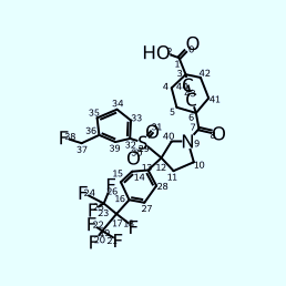 O=C(O)C12CCC(C(=O)N3CCC(c4ccc(C(F)(C(F)(F)F)C(F)(F)F)cc4)(S(=O)(=O)c4cccc(CF)c4)C3)(CC1)CC2